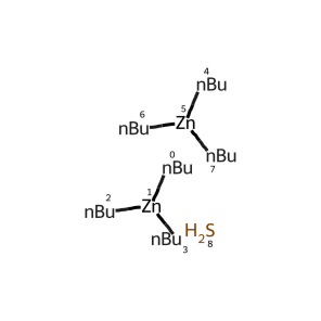 CCC[CH2][Zn]([CH2]CCC)[CH2]CCC.CCC[CH2][Zn]([CH2]CCC)[CH2]CCC.S